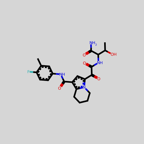 Cc1cc(NC(=O)c2cc(C(=O)C(=O)NC(C(N)=O)C(C)O)n3c2CCCC3)ccc1F